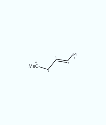 COC/C=C/C(C)C